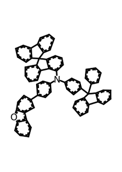 c1ccc(C2(c3ccc(N(c4ccc(-c5ccc6oc7ccccc7c6c5)cc4)c4cccc5c4-c4ccccc4C54c5ccccc5-c5ccccc54)cc3)c3ccccc3-c3ccccc32)cc1